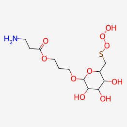 NCCC(=O)OCCCOC1OC(CSOOO)C(O)C(O)C1O